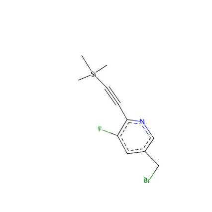 C[Si](C)(C)C#Cc1ncc(CBr)cc1F